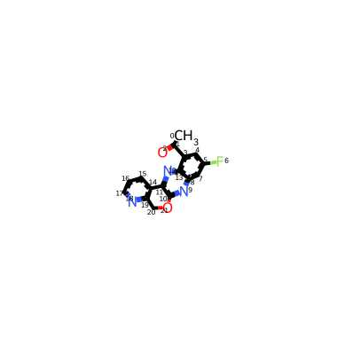 CC(=O)c1cc(F)cc2nc3c(nc12)-c1cccnc1CO3